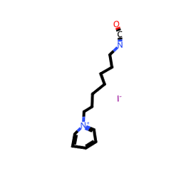 O=C=NCCCCCCC[n+]1ccccc1.[I-]